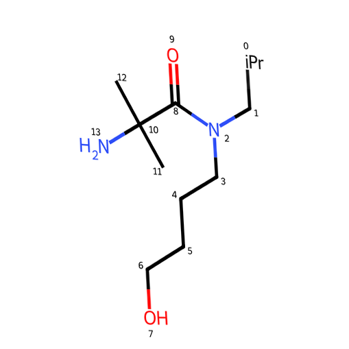 CC(C)CN(CCCCO)C(=O)C(C)(C)N